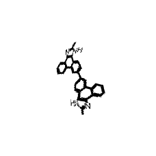 Cc1nc2c3ccccc3c3cc(-c4ccc5c(c4)c4ccccc4c4nc(C)[nH]c54)ccc3c2[nH]1